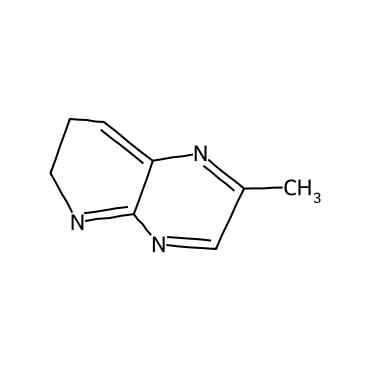 Cc1cnc2c(n1)=CCCN=2